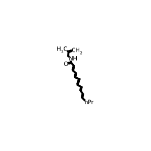 C=C(C)CNC(=O)/C=C/C=C/C=C/C=C/C=C/CCC